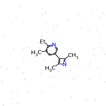 CCc1ncc(C2=C(C)N=C2C)cc1C